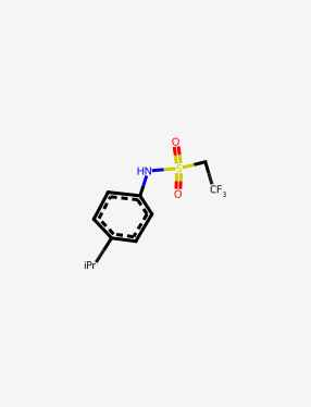 CC(C)c1ccc(NS(=O)(=O)CC(F)(F)F)cc1